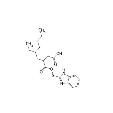 CCCCC(CC)CC(CC(=O)O)C(=O)OSc1nc2ccccc2[nH]1